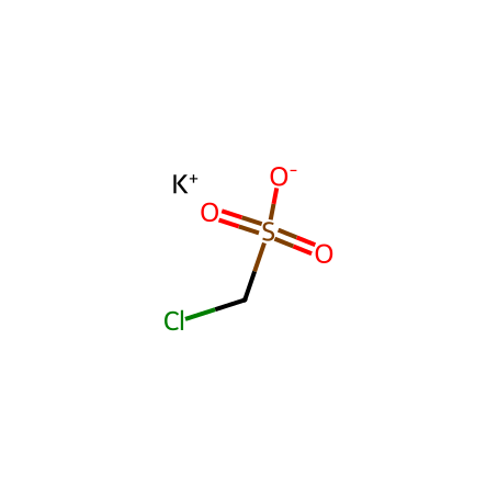 O=S(=O)([O-])CCl.[K+]